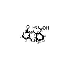 Cc1cccc(=O)n1Cc1ccccc1B(O)O